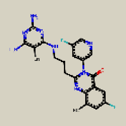 N#Cc1c(N)nc(N)nc1NCCCc1nc2c(C#N)cc(F)cc2c(=O)n1-c1cncc(F)c1